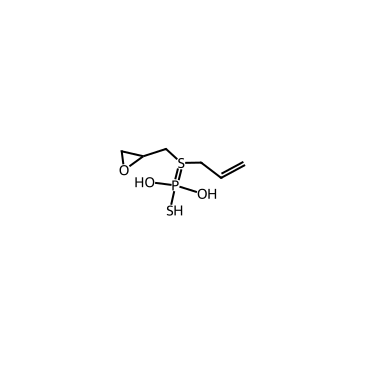 C=CCS(CC1CO1)=P(O)(O)S